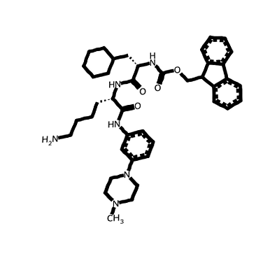 CN1CCN(c2cccc(NC(=O)[C@H](CCCCN)NC(=O)[C@H](CC3CCCCC3)NC(=O)OCC3c4ccccc4-c4ccccc43)c2)CC1